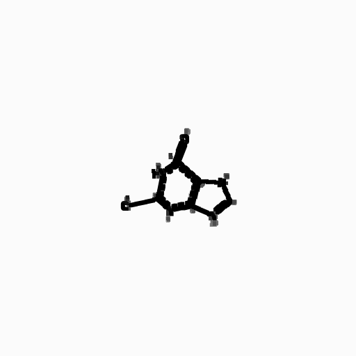 O=c1[nH]c(Cl)nc2c1[N]C=N2